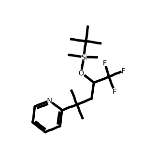 CC(C)(CC(O[Si](C)(C)C(C)(C)C)C(F)(F)F)c1ccccn1